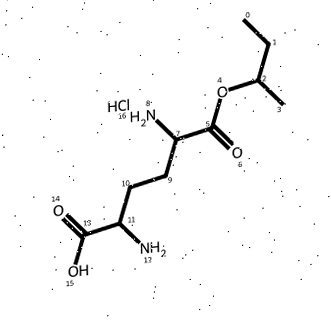 CCC(C)OC(=O)C(N)CCC(N)C(=O)O.Cl